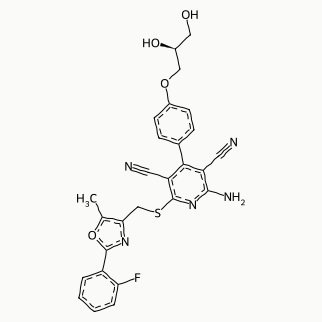 Cc1oc(-c2ccccc2F)nc1CSc1nc(N)c(C#N)c(-c2ccc(OC[C@@H](O)CO)cc2)c1C#N